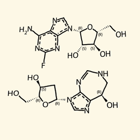 Nc1nc(F)nc2c1ncn2[C@@H]1O[C@H](CO)[C@@H](O)[C@@H]1O.OC[C@H]1O[C@@H](n2cnc3c2N=CNC[C@H]3O)C[C@@H]1O